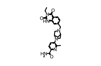 CCn1c(=O)[nH]c2cc(CN3CC4CC3CN4c3ccc(C(=O)NC)nc3C)ccc2c1=O